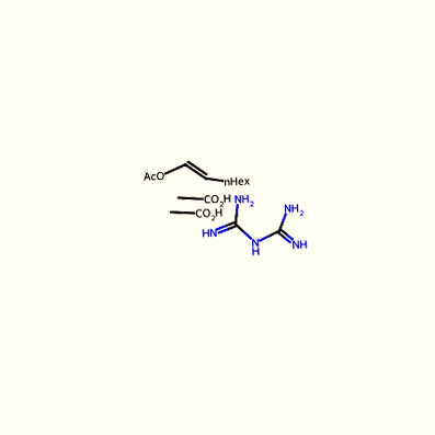 CC(=O)O.CC(=O)O.CCCCCCC=COC(C)=O.N=C(N)NC(=N)N